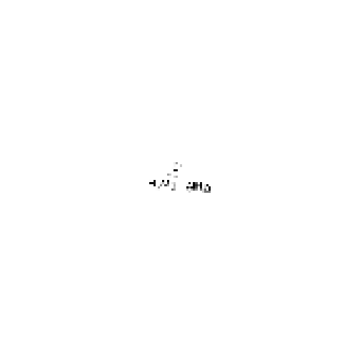 [AlH3].[Cr].[MgH2].[Zr]